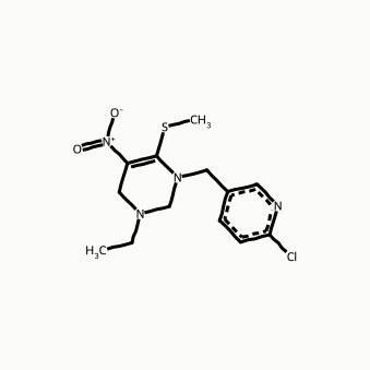 CCN1CC([N+](=O)[O-])=C(SC)N(Cc2ccc(Cl)nc2)C1